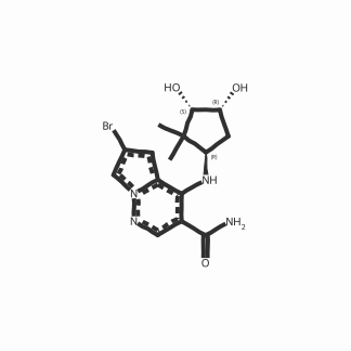 CC1(C)[C@H](O)[C@H](O)C[C@H]1Nc1c(C(N)=O)cnn2cc(Br)cc12